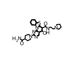 NC(=O)C1CCN(c2ncc3c(=O)c(C(=O)NCCN4CCCC4)c4sc5ccccc5n4c3n2)CC1